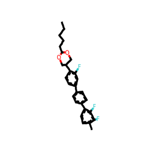 CCCCCC1OCC(c2ccc(-c3ccc(-c4ccc(C)c(F)c4F)cc3)cc2F)CO1